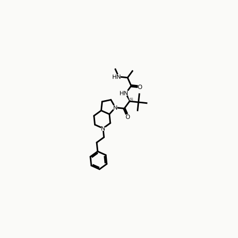 CNC(C)C(=O)N[C@H](C(=O)N1CCC2CCN(CCc3ccccc3)CC21)C(C)(C)C